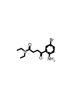 CCN(CC)C(=O)CCC(=O)c1cc(Br)ccc1N